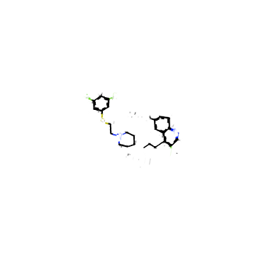 COc1ccc2ncc(F)c(CCC[C@H]3CCN(CCSc4cc(F)cc(F)c4)C[C@H]3C(=O)O)c2c1